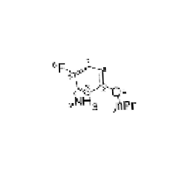 CCCOc1ccc(F)cc1.N